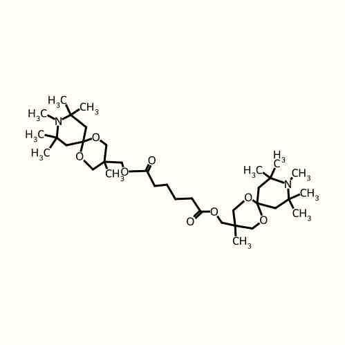 CN1C(C)(C)CC2(CC1(C)C)OCC(C)(COC(=O)CCCCC(=O)OCC1(C)COC3(CC(C)(C)N(C)C(C)(C)C3)OC1)CO2